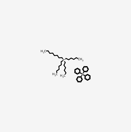 CCCCCCCC[P+](CCCCCC)(CCCCCC)CCCCCC.c1ccc([B-](c2ccccc2)(c2ccccc2)c2ccccc2)cc1